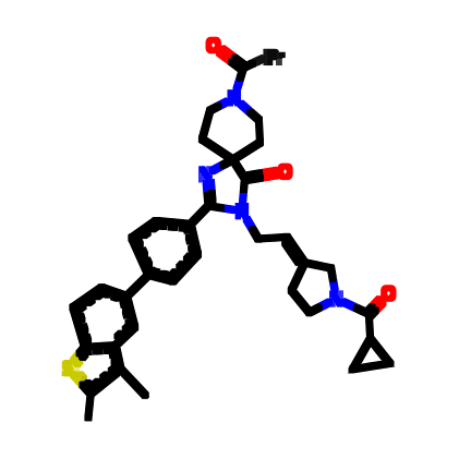 Cc1sc2ccc(-c3ccc(C4=NC5(CCN(C(=O)C(C)C)CC5)C(=O)N4C/C=C4\CCN(C(=O)C5CC5)C4)cc3)cc2c1C